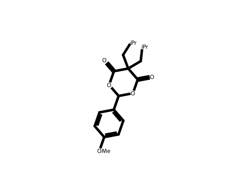 COc1ccc(C2OC(=O)C(CC(C)C)(CC(C)C)C(=O)O2)cc1